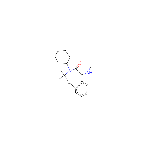 CNC1C(=O)N(C2CCCCC2)C(C)(C)Cc2ccccc21